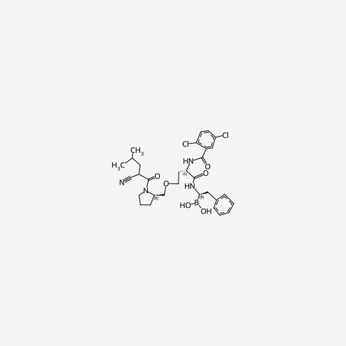 CC(C)CC(C#N)C(=O)N1CCC[C@@H]1COCC[C@H](NC(=O)c1cc(Cl)ccc1Cl)C(=O)N[C@@H](Cc1ccccc1)B(O)O